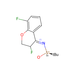 CC(C)(C)[S@@+]([O-])/N=C1/c2cccc(F)c2OCC1F